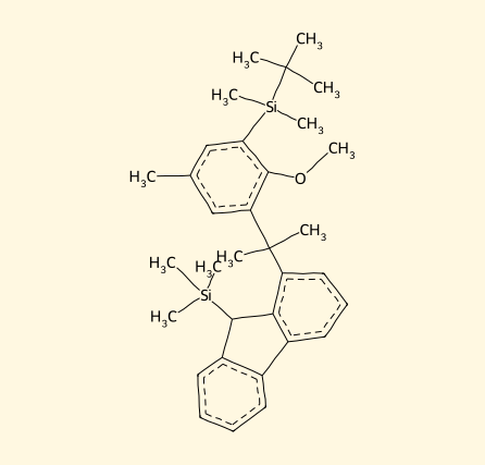 COc1c(C(C)(C)c2cccc3c2C([Si](C)(C)C)c2ccccc2-3)cc(C)cc1[Si](C)(C)C(C)(C)C